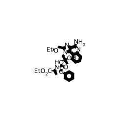 CCOCc1nc2c(N)nc3ccccc3c2n1CC(C)(O)O[P@](=O)(N[C@@H](C)C(=O)OCC)Oc1ccccc1